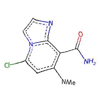 CNc1cc(Cl)n2ccnc2c1C(N)=O